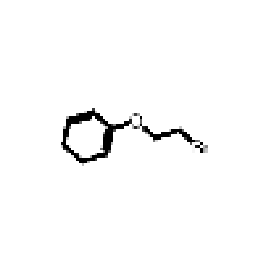 BrCCOC1=CCCC=C1